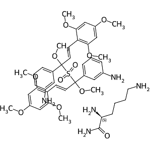 COc1cc(OC)c(C=CC(OC)(c2cccc(N)c2)S(=O)(=O)C(C=Cc2c(OC)cc(OC)cc2OC)(OC)c2cccc(N)c2)c(OC)c1.NCCCC[C@H](N)C(N)=O